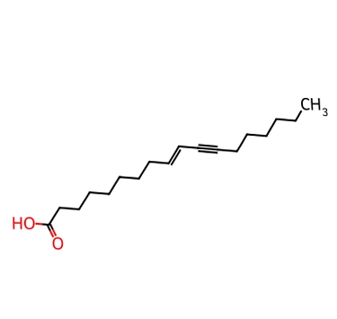 CCCCCCC#CC=CCCCCCCCC(=O)O